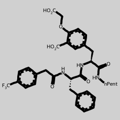 CCCCCNC(=O)[C@H](Cc1ccc(OCC(=O)O)c(C(=O)O)c1)NC(=O)[C@H](Cc1ccccc1)NC(=O)Cc1ccc(C(F)(F)F)cc1